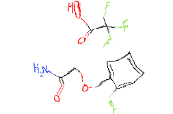 NC(=O)COc1ccccc1F.O=C(O)C(F)(F)F